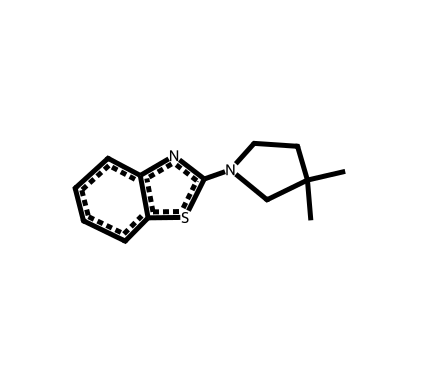 CC1(C)CCN(c2nc3ccccc3s2)C1